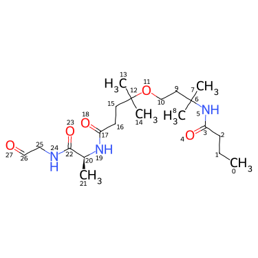 CCCC(=O)NC(C)(C)CCOC(C)(C)CCC(=O)N[C@@H](C)C(=O)NCC=O